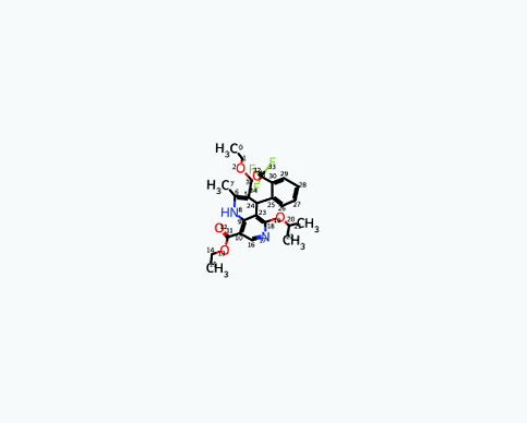 CCOC(=O)C1=C(C)Nc2c(C(=O)OCC)cnc(OC(C)C)c2C1c1ccccc1C(F)(F)F